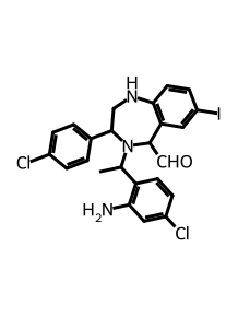 CC(c1ccc(Cl)cc1N)N1C(C=O)c2cc(I)ccc2NCC1c1ccc(Cl)cc1